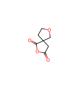 O=C1CC2(CCOC2)C(=O)O1